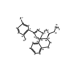 CC(=O)N1N=C(c2cc(F)ccc2F)S[C@@]12c1ccccc1CC[C@@H]2CCN